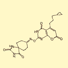 O=C1NC(=O)C2(CCC(=NOc3nc4oc(=O)cc(CCCC5CC5)c4c(=O)[nH]3)CC2)N1